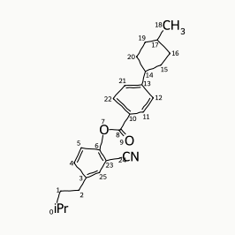 CC(C)CCc1ccc(OC(=O)c2ccc(C3CCC(C)CC3)cc2)c(C#N)c1